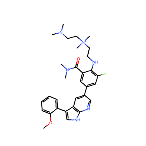 COc1ccccc1-c1c[nH]c2ncc(-c3cc(F)c(NCC[N+](C)(C)CCN(C)C)c(C(=O)N(C)C)c3)cc12